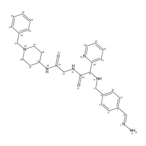 NN=Cc1ccc(CNC(C(=O)NCC(=O)NC2CCN(Cc3ccccc3)CC2)c2ccccn2)cc1